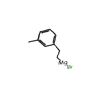 Cc1cccc(C[CH2][Mg][Br])c1